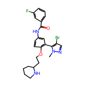 Cn1ncc(Br)c1-c1cc(NC(=O)c2cccc(F)c2)ccc1OCCC1CCCCN1